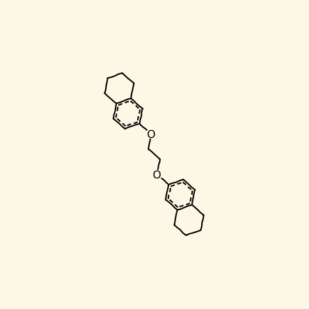 c1cc2c(cc1OCCOc1ccc3c(c1)CCCC3)CCCC2